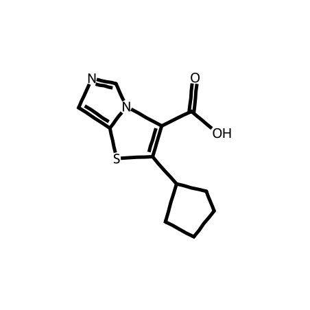 O=C(O)c1c(C2CCCC2)sc2cncn12